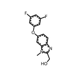 Cn1c(CO)nc2ccc(Oc3cc(F)cc(F)c3)cc21